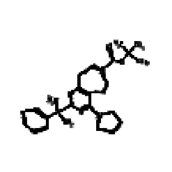 CC(C)(C)OC(=O)N1CCc2nc(C(C)(C)c3ccccc3)nc(N3CCCC3)c2CC1